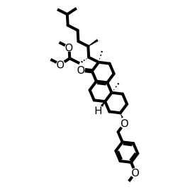 COc1ccc(CO[C@H]2CC[C@]3(C)C4=C(CC[C@H]3C2)C(=O)[C@@](C)([C@H](CC(OC)OC)[C@H](C)CCCC(C)C)CC4)cc1